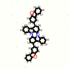 c1ccc2c(c1)oc1ccc(-c3ccc4c5c3c3ccccc3n5c3ccc(-c5ccc6oc7ccccc7c6c5)c5c6ccccc6n4c53)cc12